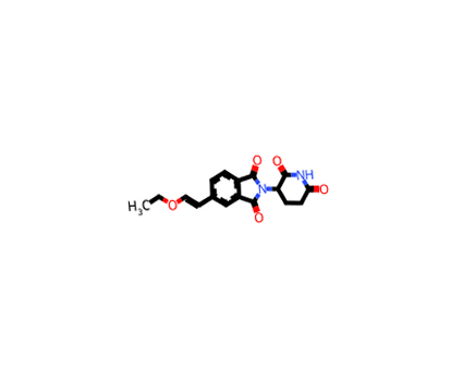 CCOC=Cc1ccc2c(c1)C(=O)N(C1CCC(=O)NC1=O)C2=O